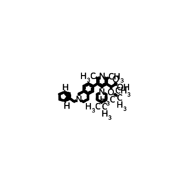 Cc1nc(C)c(C(OC(C)(C)C)C(=O)O)c(N2CCC(C)(C)CC2)c1-c1ccc2c(c1)CCN(CC1C[C@@H]3CC[C@H]1C3)C2